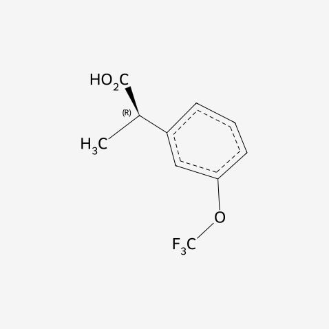 C[C@@H](C(=O)O)c1cccc(OC(F)(F)F)c1